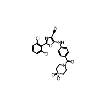 N#Cc1nc(-c2c(Cl)cccc2Cl)oc1Nc1ccc(C(=O)N2CCS(=O)(=O)CC2)cc1